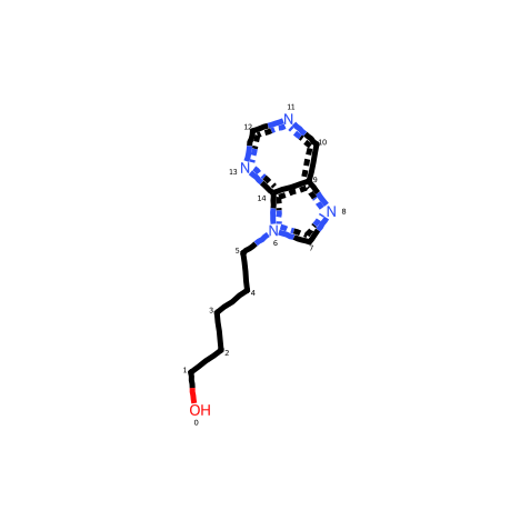 OCCCCCn1cnc2cncnc21